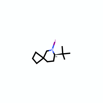 CC(C)(C)[C@H]1CCC2(CCC2)CN1I